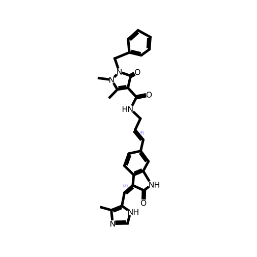 Cc1nc[nH]c1/C=C1\C(=O)Nc2cc(/C=C/CNC(=O)c3c(C)n(C)n(Cc4ccccc4)c3=O)ccc21